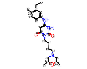 CCc1cc(Nc2cc(=O)n(CCCCN3CC(C)OC(C)C3)c(=O)[nH]2)ccc1C